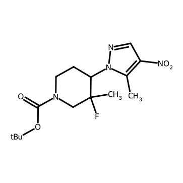 Cc1c([N+](=O)[O-])cnn1C1CCN(C(=O)OC(C)(C)C)CC1(C)F